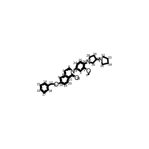 COc1cc(-n2ccc3cc(OCc4ccccc4)ccc3c2=O)ccc1N1CC[C@@H](N2CCCC2)C1